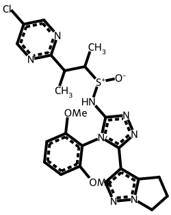 COc1cccc(OC)c1-n1c(N[S+]([O-])C(C)C(C)c2ncc(Cl)cn2)nnc1-c1cnn2c1CCC2